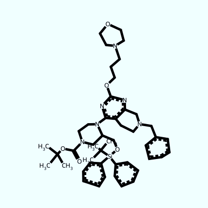 CC(C)(C)OC(=O)N1CCN(c2nc(OCCCN3CCOCC3)nc3c2CCN(Cc2ccccc2)C3)C(CO[Si](c2ccccc2)(c2ccccc2)C(C)(C)C)C1